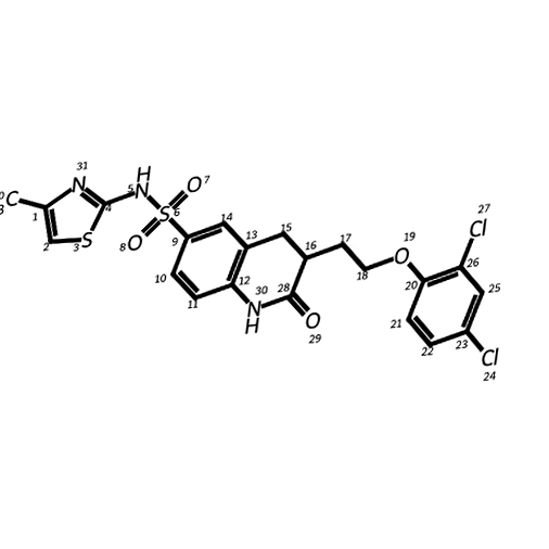 Cc1csc(NS(=O)(=O)c2ccc3c(c2)CC(CCOc2ccc(Cl)cc2Cl)C(=O)N3)n1